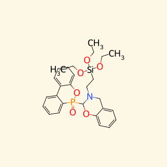 CCO[Si](CCN1Cc2ccccc2OC1P1(=O)Oc2ccccc2-c2ccccc21)(OCC)OCC